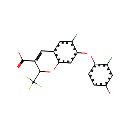 O=C(O)C1=Cc2cc(Cl)c(Oc3ccc(Br)cc3Cl)cc2OC1C(F)(F)F